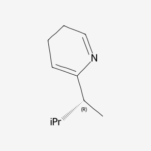 CC(C)[C@@H](C)C1=CCCC=N1